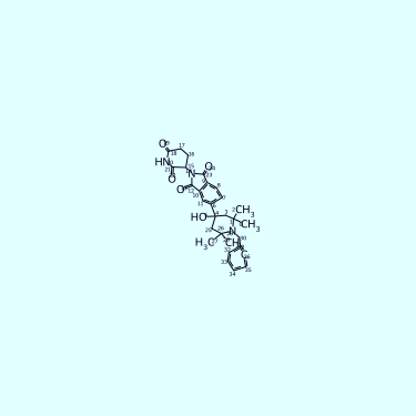 CC1(C)CC(O)(c2ccc3c(c2)C(=O)N(C2CCC(=O)NC2=O)C3=O)CC(C)(C)N1Cc1ccccc1